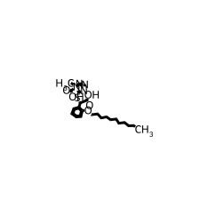 CCCCCCCCCCCOc1ccccc1C(SC1=NN=N[N+]1(C)C(=O)O)C(=O)O